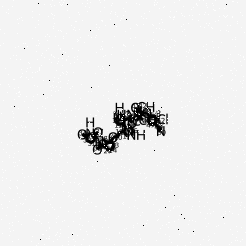 CC1(C)C(NC(=O)c2cnccc2N2CCNCC2CCOc2cccc3c2CN(C2CCC(=O)NC2=O)C3=O)C(C)(C)C1Oc1ccc(C#N)c(Cl)c1